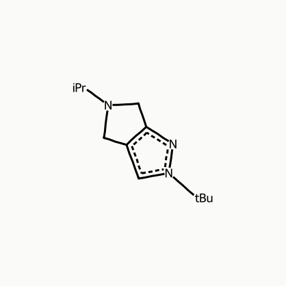 CC(C)N1Cc2cn(C(C)(C)C)nc2C1